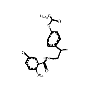 COc1ccc(Cl)cc1C(=O)NCC(C)c1ccc(OC(C(=O)O)C(C)C)cc1